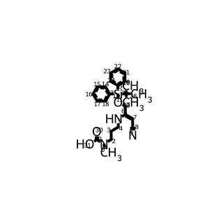 CN(CCCNC(=CC#N)CO[Si](c1ccccc1)(c1ccccc1)C(C)(C)C)C(=O)O